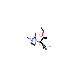 C=C(OCC)/C(=C1/C[C@H]1C)N1C=CN(C)[C@@H]1I